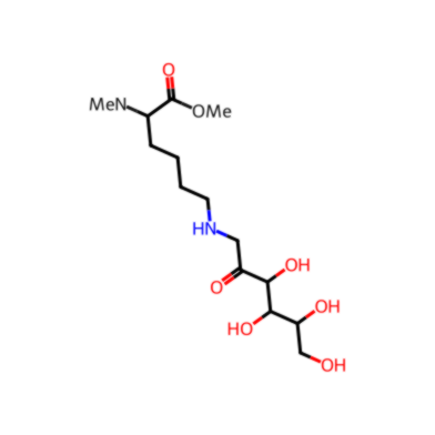 CNC(CCCCNCC(=O)C(O)C(O)C(O)CO)C(=O)OC